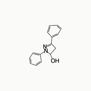 OC1CC(c2ccccc2)=NN1c1ccccc1